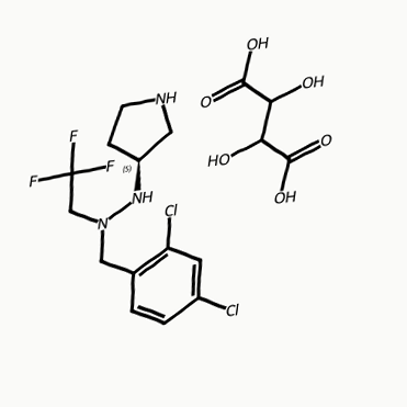 FC(F)(F)CN(Cc1ccc(Cl)cc1Cl)N[C@H]1CCNC1.O=C(O)C(O)C(O)C(=O)O